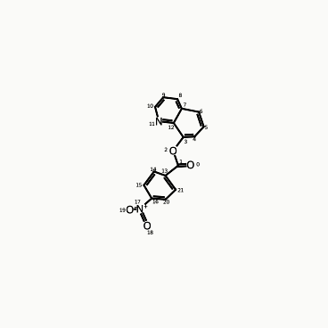 O=C(Oc1cccc2cccnc12)c1ccc([N+](=O)[O-])cc1